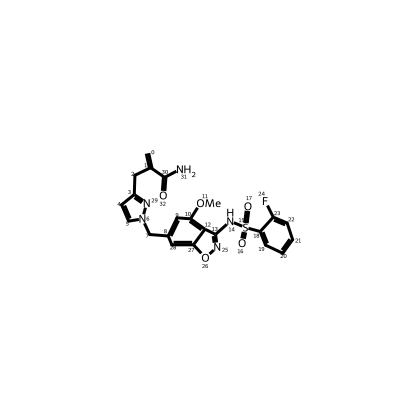 C=C(Cc1ccn(Cc2cc(OC)c3c(NS(=O)(=O)c4ccccc4F)noc3c2)n1)C(N)=O